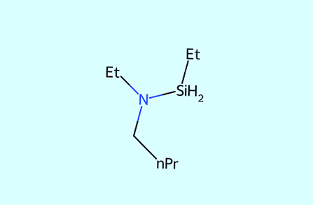 CCCCN(CC)[SiH2]CC